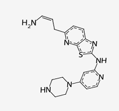 N/C=C\Cc1ccc2nc(Nc3cc(N4CCNCC4)ccn3)sc2n1